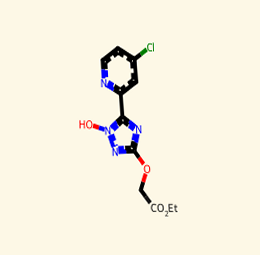 CCOC(=O)COc1nc(-c2cc(Cl)ccn2)n(O)n1